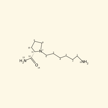 NCCCCCCN1CCC[C@H]1C(N)=O